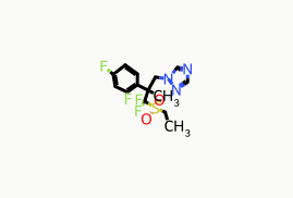 CCS(=O)(=O)C(F)(F)C(C)(Cn1cncn1)c1ccc(F)cc1F